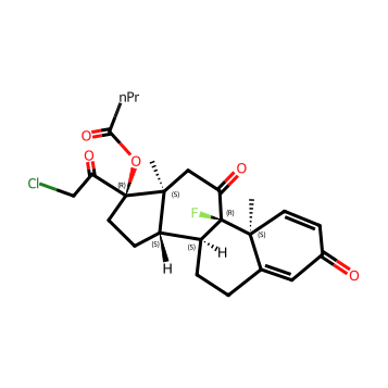 CCCC(=O)O[C@]1(C(=O)CCl)CC[C@H]2[C@@H]3CCC4=CC(=O)C=C[C@]4(C)[C@@]3(F)C(=O)C[C@@]21C